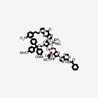 COc1ccc(C(OC[C@H]2O[C@@H](n3cnc4c(=O)n5ccn(CCc6ccc([N+](=O)[O-])cc6)c5nc43)[C@H](O[Si](C)(C)C(C)(C)C)[C@@H]2OP(OCCC#N)OC[C@H]2O[C@@H](n3cnc4c(NC(=O)c5ccccc5)ncnc43)[C@H](F)[C@@H]2O[PH](=O)O)(c2ccccc2)c2ccc(OC)cc2)cc1